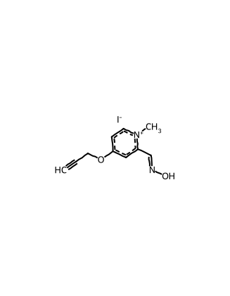 C#CCOc1cc[n+](C)c(/C=N/O)c1.[I-]